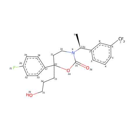 C[C@@H](c1cccc(C(F)(F)F)c1)N1CCC(CCCO)(c2ccc(F)cc2)OC1=O